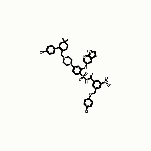 CC1(C)CCC(CN2CCN(c3ccc(S(=O)(=O)NC(=O)c4cc(COc5ccc(Cl)cc5)cc([N+](=O)[O-])c4)c(Oc4cnc5[nH]ccc5c4)c3)CC2)=C(c2ccc(Cl)cc2)C1